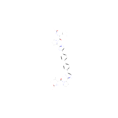 COC(=O)NC(C(=O)N1CCCC1c1ncc(-c2ccc(-c3ccc(-c4cnc(C5CCCN5C(=O)[C@@H](NC(=O)OC)C(C)C)[nH]4)cc3)cc2)[nH]1)C(C)C